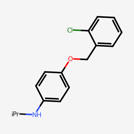 CC(C)Nc1ccc(OCc2ccccc2Cl)cc1